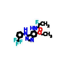 C=C(F)C(=O)Nc1cc2c(Nc3cccc(C(F)(F)F)c3)ncnc2cc1OCC